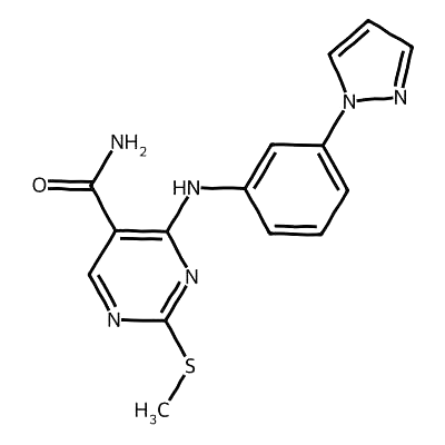 CSc1ncc(C(N)=O)c(Nc2cccc(-n3cccn3)c2)n1